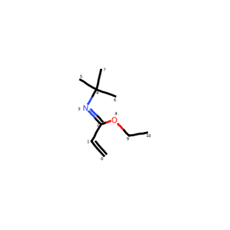 C=C/C(=N/C(C)(C)C)OCC